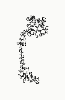 CC(C)S(=O)(=O)C[C@H](C)N1C(=O)[C@@](C)(CC(=O)Nc2ccc(C(=O)NCCOCCOCCOCCNc3cccc4c3CN(C3CCC(=O)NC3=O)C4=O)cc2)C[C@H](c2cccc(Cl)c2)[C@H]1c1ccc(Cl)cc1